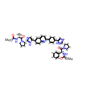 CC[C@H](C)[C@H](NC(=O)OC)C(=O)N1CCC[C@H]1c1ncc(-c2ccc3nc(-c4ccc(-c5cnc([C@@H]6CCCN6C(=O)[C@H](NC(=O)OC)c6ccccc6)[nH]5)cc4)ccc3c2)[nH]1